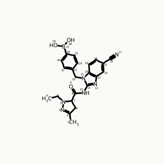 CCN1N=C(C)CC1C(=O)Nc1nc2cc(C#N)ccc2n1Cc1ccc(B(O)O)cc1